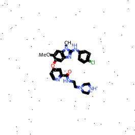 COc1cc2c(cc1Oc1ccnc(C(=O)NCCN3CCNCC3)c1)nc(Nc1ccc(Cl)cc1)n2C